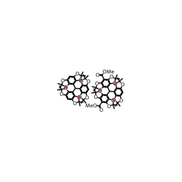 CC1(C)Oc2cc3c(c(C(c4c5c(cc6c4OC(C)(C)O6)OC(C)(C)O5)c4c5c(cc6c4OC(C)(C)O6)OC(C)(C)O5)c2O1)OC(C)(C)O3.COC(=O)c1c2c(c(C(c3c4c(cc5c3OC(C)(C)O5)OC(C)(C)O4)c3c4c(c(C(=O)OC)c5c3OC(C)(C)O5)OC(C)(C)O4)c3c1OC(C)(C)O3)OC(C)(C)O2